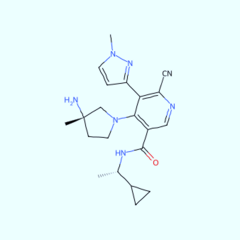 C[C@H](NC(=O)c1cnc(C#N)c(-c2ccn(C)n2)c1N1CC[C@](C)(N)C1)C1CC1